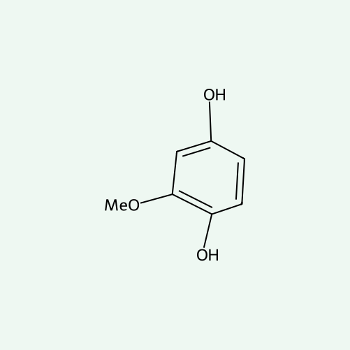 COc1cc(O)ccc1O